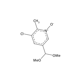 COC(OC)c1cc(Cl)c(C)[n+]([O-])c1